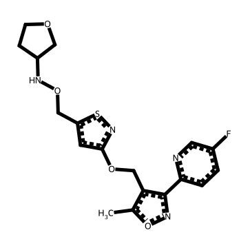 Cc1onc(-c2ccc(F)cn2)c1COc1cc(CONC2CCOC2)sn1